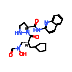 O=CN(O)C[C@@H](CC1CCCC1)C(=O)N1NCC[C@H]1C(=O)Nc1ccc2ccccc2n1